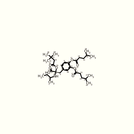 CCC(C)N[C@@](Cc1ccc(OC(=O)CCC(C)C)c(OC(=O)CCC(C)C)c1)(OC(=O)CC(C)(C)C)C(=O)O